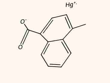 Cc1ccc(C(=O)[O-])c2ccccc12.[Hg+]